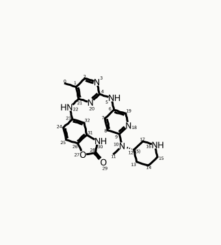 Cc1cnc(Nc2ccc(N(C)[C@H]3CCCNC3)nc2)nc1Nc1ccc2oc(=O)[nH]c2c1